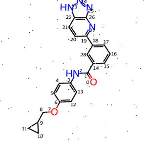 O=C(Nc1ccc(OCC2CC2)cc1)c1cccc(-c2ccc3[nH]nnc3n2)c1